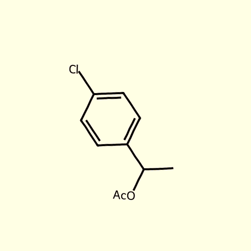 CC(=O)OC(C)c1ccc(Cl)cc1